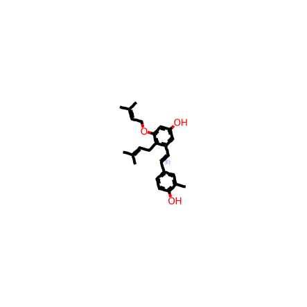 CC(C)=CCOc1cc(O)cc(/C=C/c2ccc(O)c(C)c2)c1CC=C(C)C